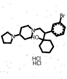 Cl.Cl.OC1(C(CN2CCC(N3CCCC3)CC2)c2cccc(Br)c2)CCCCC1